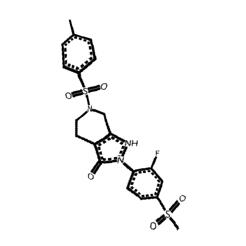 Cc1ccc(S(=O)(=O)N2CCc3c([nH]n(-c4ccc(S(C)(=O)=O)cc4F)c3=O)C2)cc1